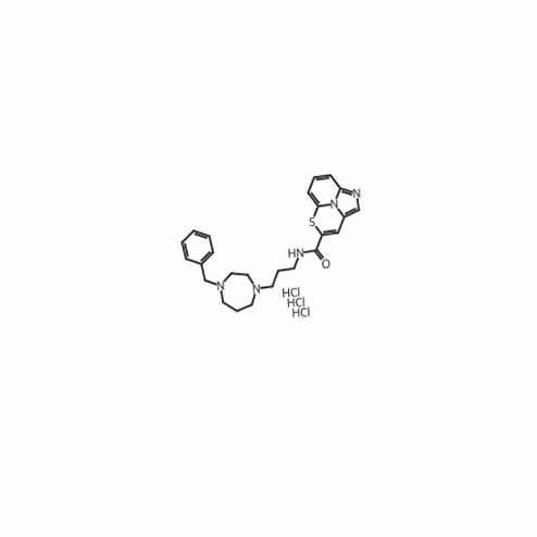 Cl.Cl.Cl.O=C(NCCCN1CCCN(Cc2ccccc2)CC1)C1=Cc2cnc3cccc(n23)S1